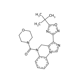 CC(C)(C)c1nc(-c2ncn3c2CN(C(=O)N2CCOCC2)c2ccccc2-3)no1